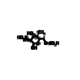 C[C@@H]1C(COS(=O)(=O)O)OC(O)C(NS(=O)(=O)O)[C@@H]1O